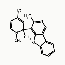 CCC1=CC(C)(c2c(C)ncc3c2oc2ccccc23)N(C)C=C1